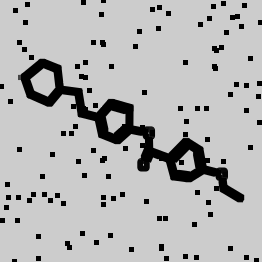 CCOc1ccc(C(=O)Oc2ccc(CCC3CC[CH]CC3)cc2)cc1